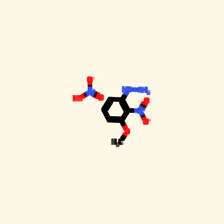 COc1cccc(NN)c1[N+](=O)[O-].O=[N+]([O-])O